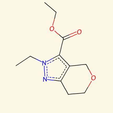 CCOC(=O)c1c2c(nn1CC)CCOC2